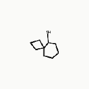 SC1CCCCC12CCC2